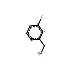 CCCCCc1cccc([S])c1